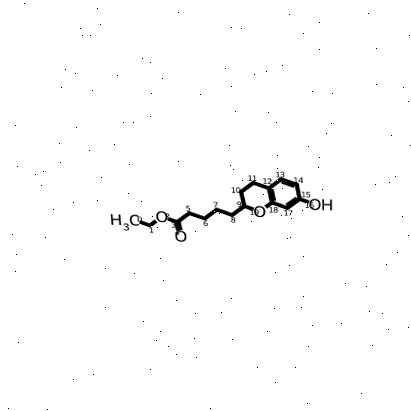 CCOC(=O)CCCCC1CCc2ccc(O)cc2O1